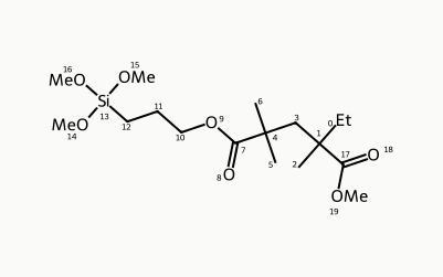 CCC(C)(CC(C)(C)C(=O)OCCC[Si](OC)(OC)OC)C(=O)OC